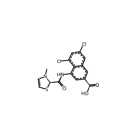 CN1C=CSC1C(=O)Nc1cc(C(=O)O)cc2cc(Cl)cc(Cl)c12